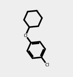 Clc1ccc(OC2CC[CH]CC2)cc1